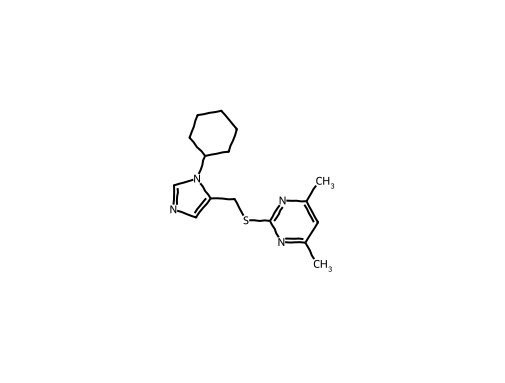 Cc1cc(C)nc(SCc2cncn2C2CCCCC2)n1